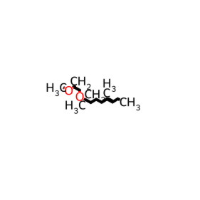 C=C(COC(C)(C)CCC/C(C)=C/CC)OC